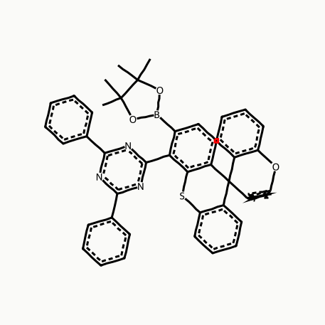 CC1(C)OB(c2ccc3c(c2-c2nc(-c4ccccc4)nc(-c4ccccc4)n2)Sc2ccccc2C32c3ccccc3Oc3ccccc32)OC1(C)C